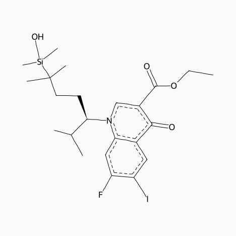 CCOC(=O)c1cn([C@H](CCC(C)(C)[Si](C)(C)O)C(C)C)c2cc(F)c(I)cc2c1=O